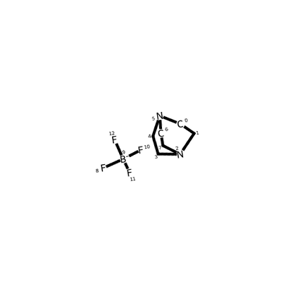 C1CN2CCN1CC2.F[B-](F)(F)F